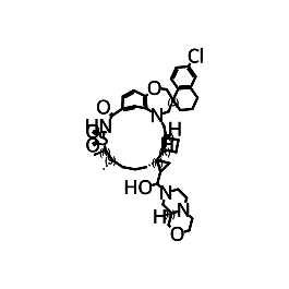 C[C@@H]1[C@@H](C)CCC[C@@]2(CC2C(O)N2CCN3CCOC[C@H]3C2)[C@@H]2CC[C@H]2CN2C[C@@]3(CCCc4cc(Cl)ccc43)COc3ccc(cc32)C(=O)NS1(=O)=O